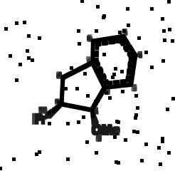 CO[C@@H]1c2ccccc2C[C@@H]1C(C)C